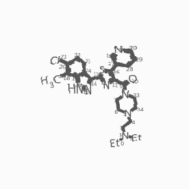 CCN(CC)CCN1CCN(C(=O)c2nc(-c3n[nH]c4c(C)c(Cl)ccc34)sc2-c2cccnc2)CC1